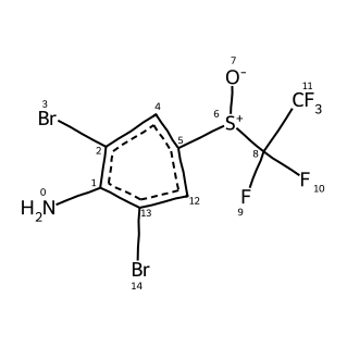 Nc1c(Br)cc([S+]([O-])C(F)(F)C(F)(F)F)cc1Br